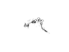 COc1nc(-c2cccc(-c3cccc(-c4cc(C)c5nc(COC(=O)NC[C@@H]6CCC(=O)N6)cc(=O)n5c4)c3Cl)c2Cl)ccc1CNC[C@@H]1CCC(=O)N1